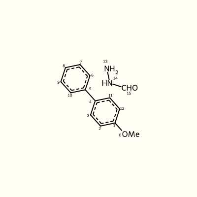 COc1ccc(-c2ccccc2)cc1.NNC=O